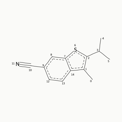 Cc1c(C(C)C)sc2cc(C#N)ccc12